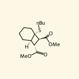 CCCCS[C@@]12CCCC[C@@H]1[C@@H](C(=O)OC)[C@@H]2C(=O)OC